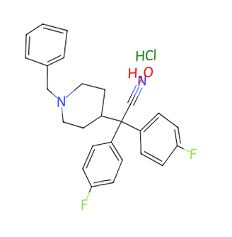 Cl.N#CC(c1ccc(F)cc1)(c1ccc(F)cc1)C1CCN(Cc2ccccc2)CC1.O